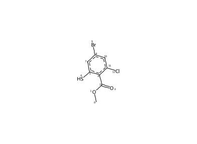 COC(=O)c1c(S)cc(Br)cc1Cl